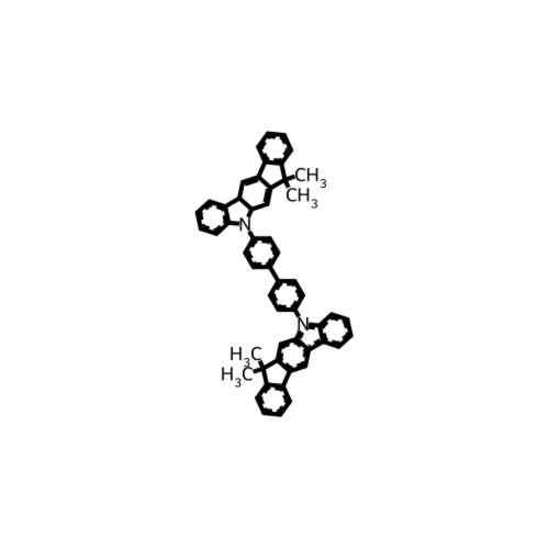 CC1(C)C2=CC3C(C=C2c2ccccc21)c1ccccc1N3c1ccc(-c2ccc(-n3c4ccccc4c4cc5c(cc43)C(C)(C)c3ccccc3-5)cc2)cc1